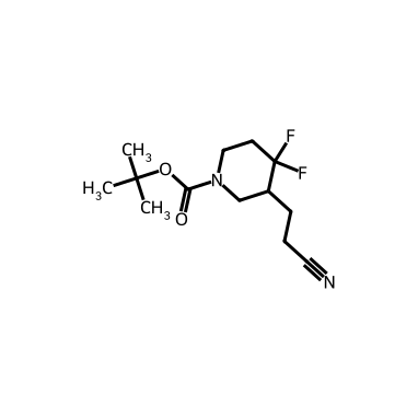 CC(C)(C)OC(=O)N1CCC(F)(F)C(CCC#N)C1